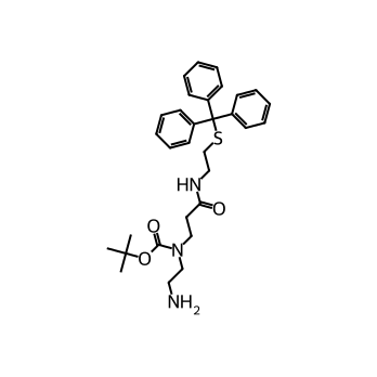 CC(C)(C)OC(=O)N(CCN)CCC(=O)NCCSC(c1ccccc1)(c1ccccc1)c1ccccc1